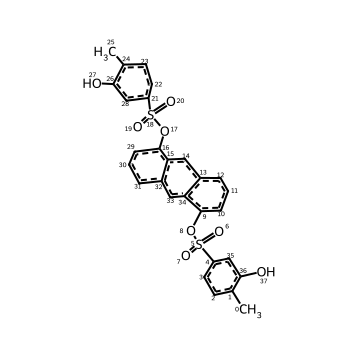 Cc1ccc(S(=O)(=O)Oc2cccc3cc4c(OS(=O)(=O)c5ccc(C)c(O)c5)cccc4cc23)cc1O